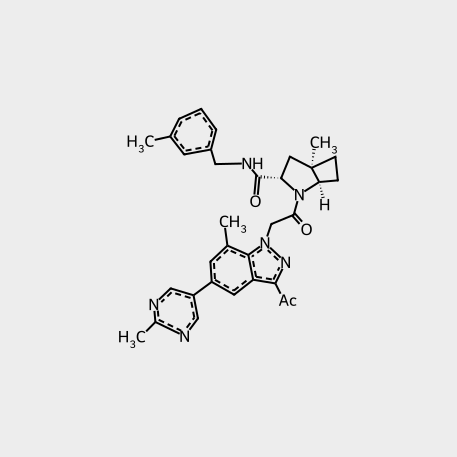 CC(=O)c1nn(CC(=O)N2[C@H](C(=O)NCc3cccc(C)c3)C[C@@]3(C)CC[C@@H]23)c2c(C)cc(-c3cnc(C)nc3)cc12